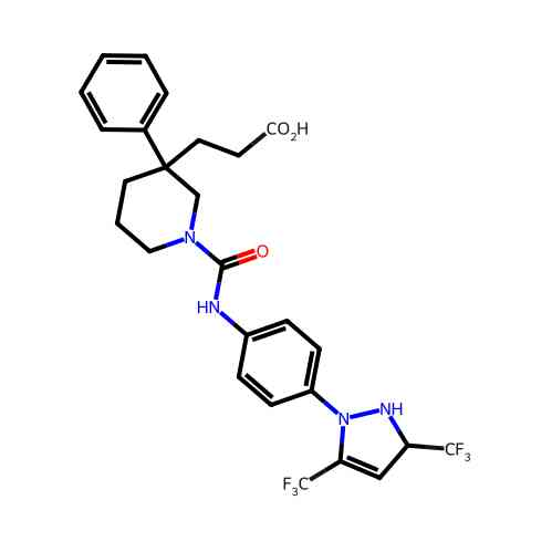 O=C(O)CCC1(c2ccccc2)CCCN(C(=O)Nc2ccc(N3NC(C(F)(F)F)C=C3C(F)(F)F)cc2)C1